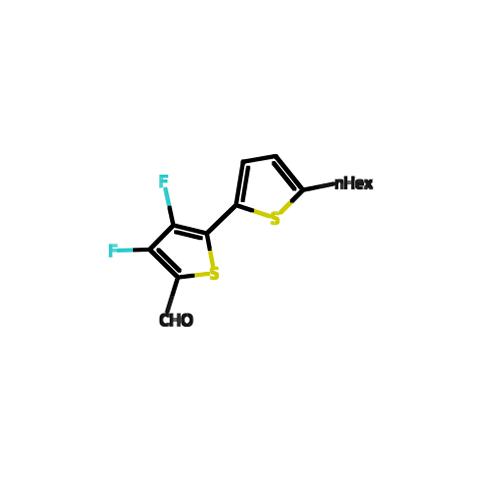 CCCCCCc1ccc(-c2sc(C=O)c(F)c2F)s1